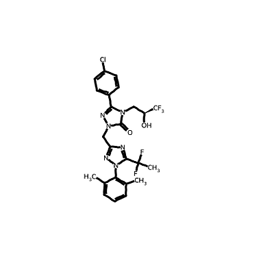 Cc1cccc(C)c1-n1nc(Cn2nc(-c3ccc(Cl)cc3)n(C[C@H](O)C(F)(F)F)c2=O)nc1C(C)(F)F